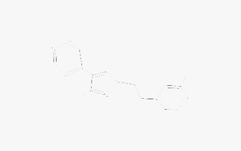 Cc1nn(CCc2cccc(F)c2)cc1-c1ccncc1